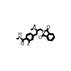 CNC(=O)c1ccc(CC(CN2C(=O)c3ccccc3C2=O)N(C)C)cc1F